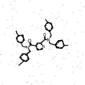 Cc1ccc(CN(Cc2ccc(C)cc2)C(=O)c2ccnc(C(=O)N(Cc3ccc(C)cc3)Cc3ccc(C)cc3)c2)cc1